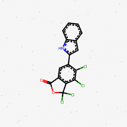 O=C1OC(Cl)(Cl)c2c1cc(-c1cc3ccccc3[nH]1)c(Cl)c2Cl